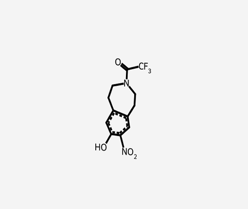 O=C(N1CCc2cc(O)c([N+](=O)[O-])cc2CC1)C(F)(F)F